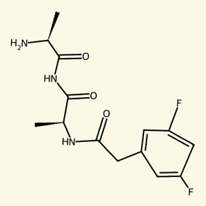 C[C@H](N)C(=O)NC(=O)[C@H](C)NC(=O)Cc1cc(F)cc(F)c1